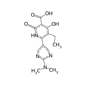 CCc1c(-c2cnc(N(C)C)nc2)[nH]c(=O)c(C(=O)O)c1O